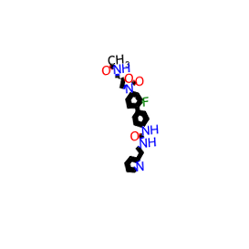 CC(=O)NC[C@H]1CN(c2ccc(-c3ccc(NC(=O)NCCc4ccccn4)cc3)c(F)c2)C(=O)O1